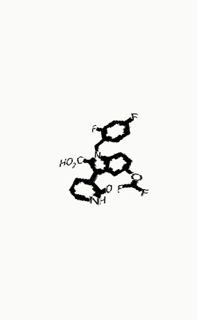 O=C(O)c1c(-c2ccc[nH]c2=O)c2cc(OC(F)F)ccc2n1Cc1ccc(F)cc1F